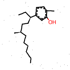 CCCCCC[C@@H](C)CC[C@@H](CC)c1ccc(C)c(O)c1